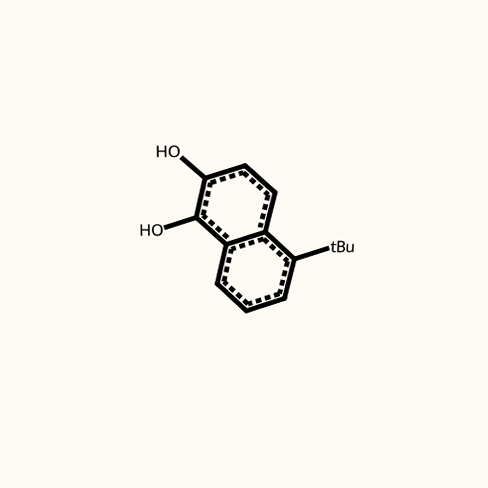 CC(C)(C)c1cccc2c(O)c(O)ccc12